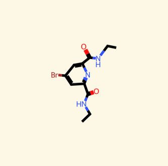 CCNC(=O)c1cc(Br)cc(C(=O)NCC)n1